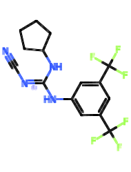 N#C/N=C(/Nc1cc(C(F)(F)F)cc(C(F)(F)F)c1)NC1CCCC1